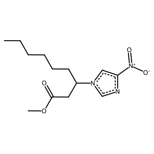 CCCCCCC(CC(=O)OC)n1cnc([N+](=O)[O-])c1